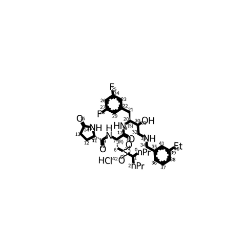 CCCC(CCC)S(=O)(=O)C[C@H](NC(=O)[C@@H]1CCC(=O)N1)C(=O)N[C@@H](Cc1cc(F)cc(F)c1)C(O)CNCc1cccc(CC)c1.Cl